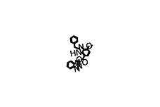 COc1ccc(C(=O)On2nnc3ccccc32)c2[nH]c(Cc3ccccc3)nc12